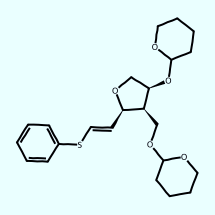 C(=C[C@H]1OC[C@@H](OC2CCCCO2)[C@H]1COC1CCCCO1)Sc1ccccc1